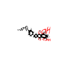 CCC[C@H]1CC[C@H](c2ccc3c(c2)C(=O)c2c(O)ccc(O)c2C3=O)CC1